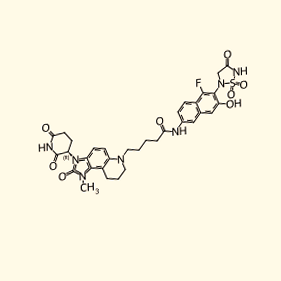 Cn1c(=O)n([C@@H]2CCC(=O)NC2=O)c2ccc3c(c21)CCCN3CCCCC(=O)Nc1ccc2c(F)c(N3CC(=O)NS3(=O)=O)c(O)cc2c1